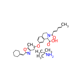 CC(C)(C)N.CC=CC=CC(=O)N1CCc2ccc(OCCc3nc(C=C4CCCCC4)oc3C)cc2C1C(=O)O